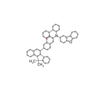 CC1(C)c2ccccc2-c2c(-c3ccc4cc(N(c5ccc6oc7ccccc7c6c5)c5ccccc5-c5ccccc5)ccc4c3)cc3ccccc3c21